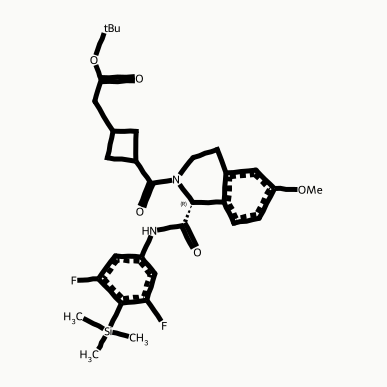 COc1ccc2c(c1)CCN(C(=O)C1CC(CC(=O)OC(C)(C)C)C1)[C@H]2C(=O)Nc1cc(F)c([Si](C)(C)C)c(F)c1